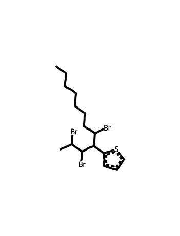 CCCCCCCC(Br)C(c1cccs1)C(Br)C(C)Br